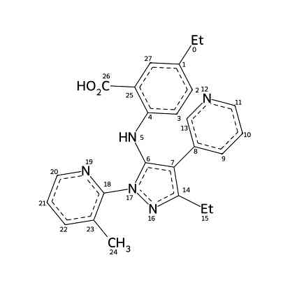 CCc1ccc(Nc2c(-c3cccnc3)c(CC)nn2-c2ncccc2C)c(C(=O)O)c1